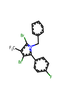 Fc1ccc(-c2c(Br)c(C(F)(F)F)c(Br)n2Cc2ccccc2)cc1